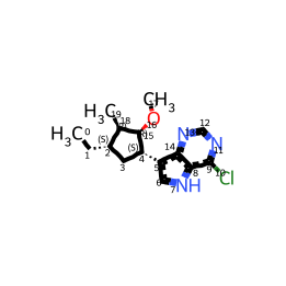 CC[C@H]1C[C@@H](c2c[nH]c3c(Cl)ncnc23)[C@H](OC)[C@@H]1C